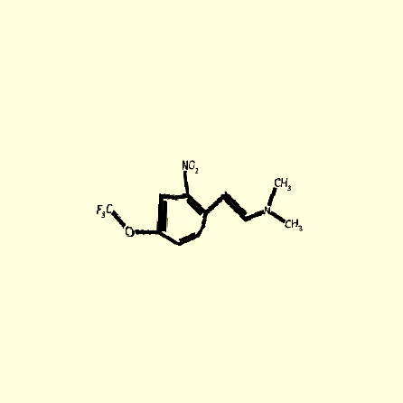 CN(C)C=Cc1ccc(OC(F)(F)F)cc1[N+](=O)[O-]